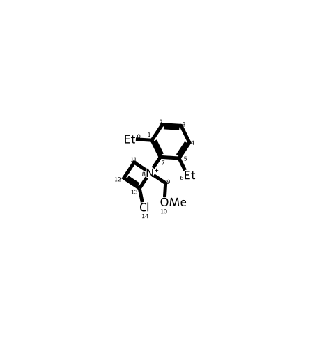 CCc1cccc(CC)c1[N+]1(COC)CC=C1Cl